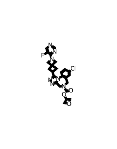 O=C(OC1COC1)N1Cc2cc(Cl)ccc2-n2c(nnc2C2CC3(C2)CN(c2ncncc2F)C3)C1